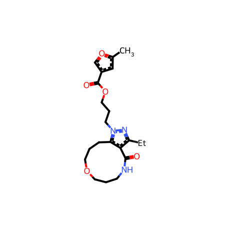 CCc1nn(CCCOC(=O)c2coc(C)c2)c2c1C(=O)NCCCOCCC2